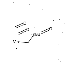 CCCC[CH2][Mn].[C]=O.[C]=O.[C]=O